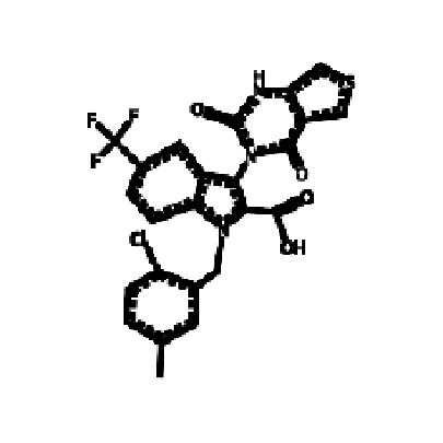 Cc1ccc(Cl)c(Cn2c(C(=O)O)c(-n3c(=O)[nH]c4cscc4c3=O)c3cc(C(F)(F)F)ccc32)c1